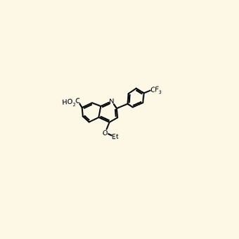 CCOc1cc(-c2ccc(C(F)(F)F)cc2)nc2cc(C(=O)O)ccc12